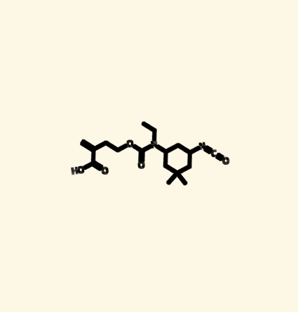 C=C(CCOC(=O)N(CC)C1CC(N=C=O)CC(C)(C)C1)C(=O)O